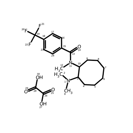 CN(C)C1CCCCCCC1N(C)C(=O)c1ccc(C(F)(F)F)cc1.O=C(O)C(=O)O